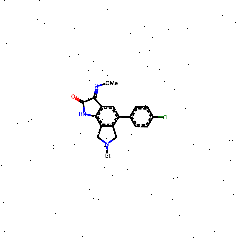 CCN1Cc2c(-c3ccc(Cl)cc3)cc3c(c2C1)NC(=O)C3=NOC